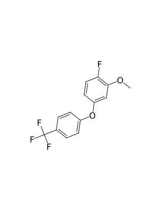 COc1cc(Oc2ccc(C(F)(F)F)cc2)ccc1F